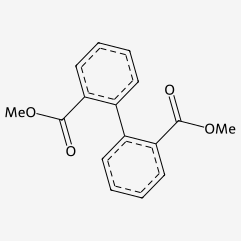 COC(=O)c1ccccc1-c1ccccc1C(=O)OC